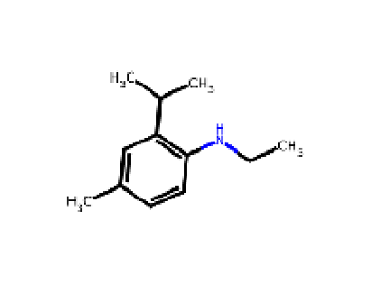 CCNc1ccc(C)cc1C(C)C